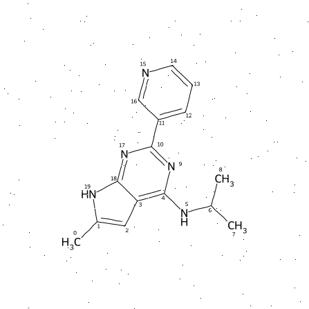 Cc1cc2c(NC(C)C)nc(-c3cccnc3)nc2[nH]1